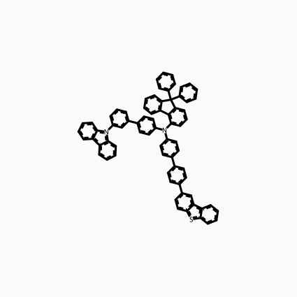 c1ccc(C2(c3ccccc3)c3ccccc3-c3c(N(c4ccc(-c5ccc(-c6ccc7sc8ccccc8c7c6)cc5)cc4)c4ccc(-c5cccc(-n6c7ccccc7c7ccccc76)c5)cc4)cccc32)cc1